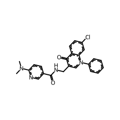 CN(C)c1ccc(C(=O)NCc2cn(-c3ccccc3)c3cc(Cl)ccc3c2=O)cn1